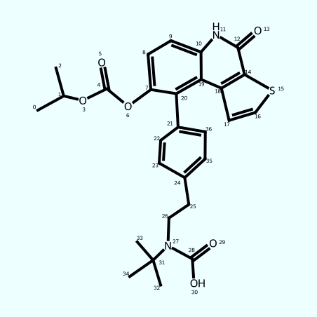 CC(C)OC(=O)Oc1ccc2[nH]c(=O)c3sccc3c2c1-c1ccc(CCN(C(=O)O)C(C)(C)C)cc1